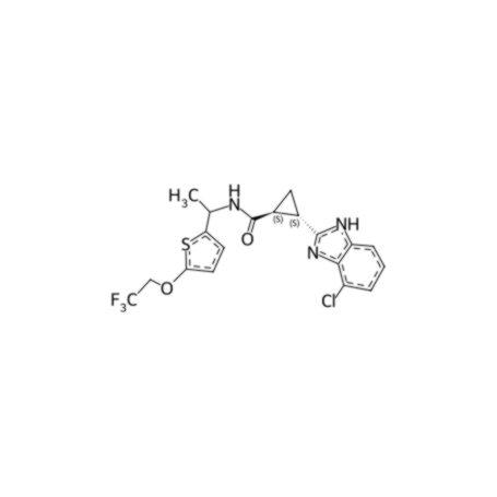 CC(NC(=O)[C@H]1C[C@@H]1c1nc2c(Cl)cccc2[nH]1)c1ccc(OCC(F)(F)F)s1